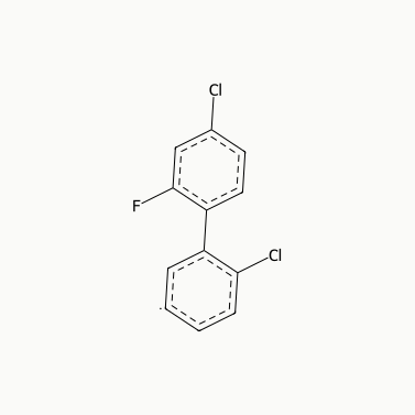 Fc1cc(Cl)ccc1-c1c[c]ccc1Cl